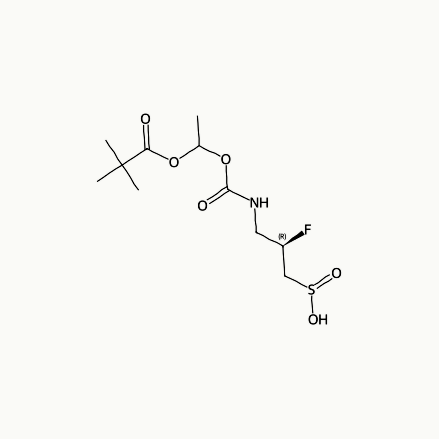 CC(OC(=O)NC[C@@H](F)CS(=O)O)OC(=O)C(C)(C)C